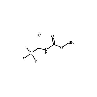 CC(C)(C)OC(=O)NC[B-](F)(F)F.[K+]